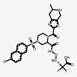 CC1Cc2nc(C(=O)N3CCN(S(=O)(=O)c4ccc5cc(Cl)ccc5c4)CC3C(=O)NOC(C)(C)C)sc2CN1.O=C(O)C(F)(F)F